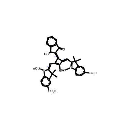 CCCCCCCCN1/C(=C/C2=C(O)C(=C\C3=[N+](CCCCCCCC)c4ccc(C(=O)O)cc4C3(C)C)/C2=C2\C(=O)c3ccccc3C2O)C(C)(C)c2cc(C(=O)O)ccc21